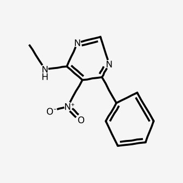 CNc1ncnc(-c2ccccc2)c1[N+](=O)[O-]